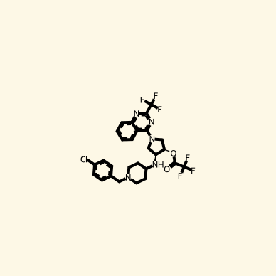 O=C(O[C@H]1CN(c2nc(C(F)(F)F)nc3ccccc23)C[C@@H]1NC1CCN(Cc2ccc(Cl)cc2)CC1)C(F)(F)F